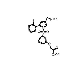 CNCc1cc(-c2ccccc2F)n(S(=O)(=O)c2cccc(OCC(=O)OC)c2)c1